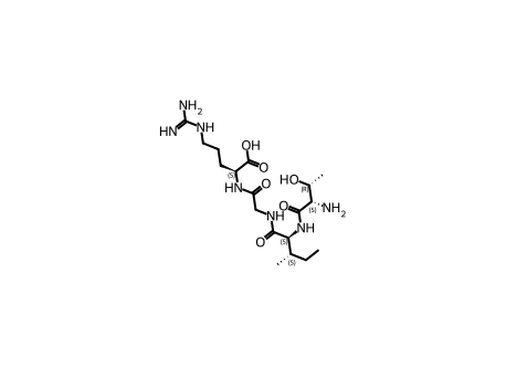 CC[C@H](C)[C@H](NC(=O)[C@@H](N)[C@@H](C)O)C(=O)NCC(=O)N[C@@H](CCCNC(=N)N)C(=O)O